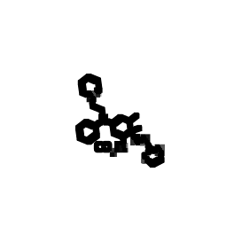 CCOC(=O)C1=CC(N(CC[n+]2ccccc2)c2ccccc2)=CC(C)C1(C)N=Nc1nccs1